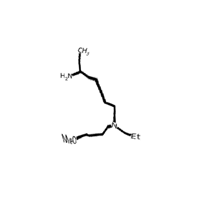 CCN(CCCC(C)N)CCOC